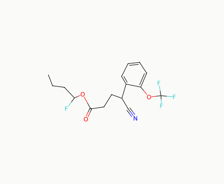 CCCC(F)OC(=O)CCC(C#N)c1ccccc1OC(F)(F)F